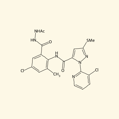 CSc1cc(C(=O)Nc2c(C)cc(Cl)cc2C(=O)NNC(C)=O)n(-c2ncccc2Cl)n1